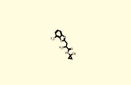 N#CC1(NC(=O)C(N)Cc2nc3cccc(C(F)(F)F)c3o2)CC1